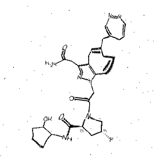 NC(=O)c1nn(CC(=O)N2C[C@H](F)C[C@H]2C(=O)NC2CCCC2O)c2ccc(-c3ccnnc3)cc12